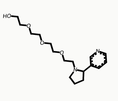 OCCOCCOCCOCCN1CCCC1c1cccnc1